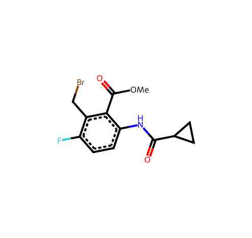 COC(=O)c1c(NC(=O)C2CC2)ccc(F)c1CBr